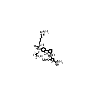 CSc1sc(C(=N)N)cc1S(=O)(=O)c1cccc(-c2ccc(NC(=N)NCCCCCS(C)(=O)=O)cc2C)c1.O=C(O)C(F)(F)F